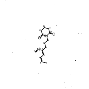 C=N/C(=C\C=C/C)CCCN1C(=O)CCCC1=O